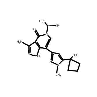 CC(C)[C@H](C)n1cc(-c2cc(C3(O)CCC3)n(C)n2)c2[nH]nc(N)c2c1=O